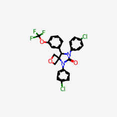 O=C1N(c2ccc(Cl)cc2)C(c2cccc(OC(F)(F)F)c2)C2(COC2)N1c1ccc(Cl)cc1